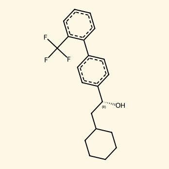 O[C@H](CC1CCCCC1)c1ccc(-c2ccccc2C(F)(F)F)cc1